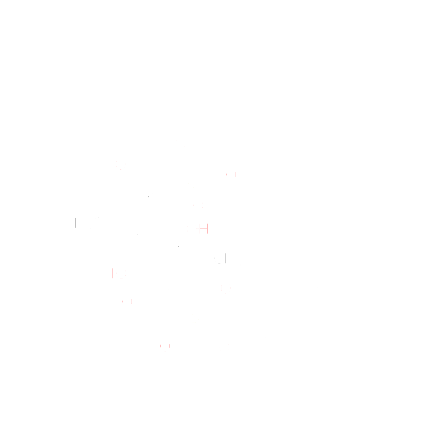 CC(O)(C(=O)S(=O)(=O)Oc1ccccc1)C(C)(O)C(=O)S(=O)(=O)Oc1ccccc1